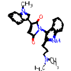 CN(C)CCCc1[nH]c2ccccc2c1N1C(=O)C=C(c2cn(C)c3ccccc23)C1=O